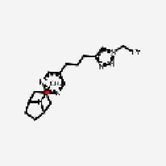 CC(C)Cn1cc(CCCc2cnc(N3C4CCC3CN(C)C4)nc2)nn1